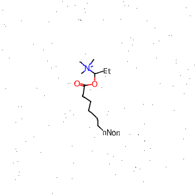 CCCCCCCCCCCCCCC(=O)OC(CC)[N+](C)(C)C